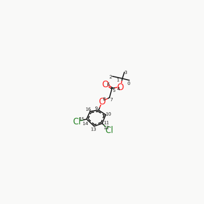 CC(C)(C)OC(=O)COc1cc(Cl)cc(Cl)c1